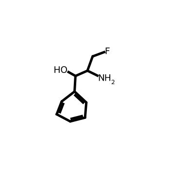 NC(CF)C(O)c1ccccc1